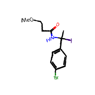 COCCC(=O)NC(C)(I)c1ccc(Br)cc1